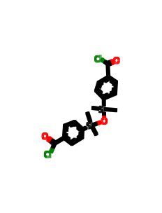 C[Si](C)(O[Si](C)(C)c1ccc(C(=O)Cl)cc1)c1ccc(C(=O)Cl)cc1